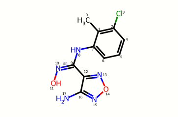 Cc1c(Cl)cccc1N/C(=N/O)c1nonc1N